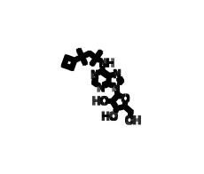 CC(C)(CC(C)(C)C1CCC1)Nc1ncnc2c1ncn2C1OC(CO)C(O)C1O